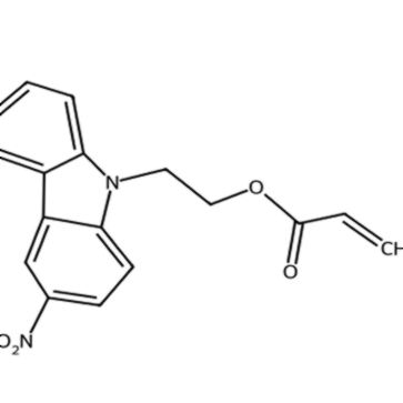 C=CC(=O)OCCn1c2ccccc2c2cc([N+](=O)[O-])ccc21